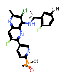 CC[P@](C)(=O)c1ccc(-c2nc3c(N[C@H](C)c4cc(C#N)ccc4F)c(Cl)c(C)nc3cc2F)cn1